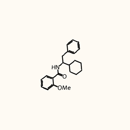 COc1ccccc1C(=O)NC(Cc1ccccc1)C1CCCCC1